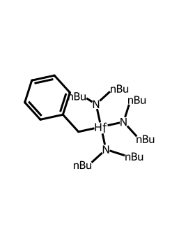 CCCC[N](CCCC)[Hf]([CH2]c1ccccc1)([N](CCCC)CCCC)[N](CCCC)CCCC